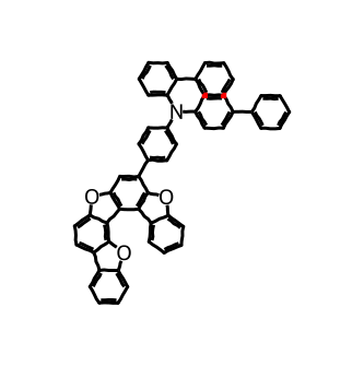 c1ccc(-c2ccc(N(c3ccc(-c4cc5oc6ccc7c8ccccc8oc7c6c5c5c4oc4ccccc45)cc3)c3ccccc3-c3ccccc3)cc2)cc1